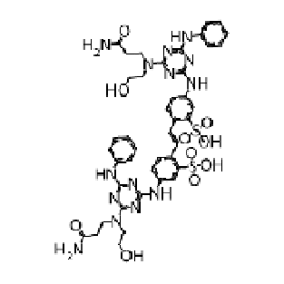 NC(=O)CCN(CCO)c1nc(Nc2ccccc2)nc(Nc2ccc(/C=C/c3ccc(Nc4nc(Nc5ccccc5)nc(N(CCO)CCC(N)=O)n4)cc3S(=O)(=O)O)c(S(=O)(=O)O)c2)n1